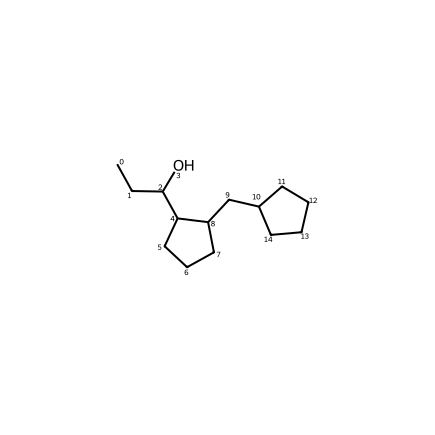 CCC(O)C1CCCC1CC1CCCC1